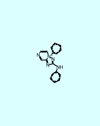 C1=C[N+]2(c3ccccc3)N=C(Nc3ccccc3)N=C2C=N1